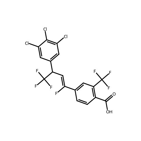 O=C(O)c1ccc(C(F)=CC(c2cc(Cl)c(Cl)c(Cl)c2)C(F)(F)F)cc1C(F)(F)F